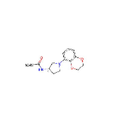 CNC(=O)N[C@H]1CCN(c2cccc3c2OCCO3)C1